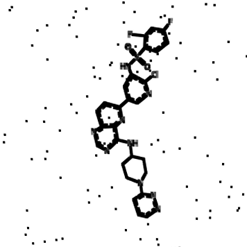 O=S(=O)(Nc1cc(-c2ccc3ncnc(NC4CCN(c5cccnn5)CC4)c3n2)cnc1Cl)c1ccc(F)cc1F